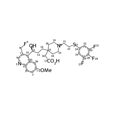 COc1ccc2ncc(CF)c([C@@H](O)CCC3(CC(=O)O)CCN(CCSc4cc(F)c(F)c(F)c4)CC3)c2c1